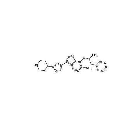 CC(Cc1ccccc1)Oc1c(N)ncc2c(-c3cnn(C4CCNCC4)c3)coc12